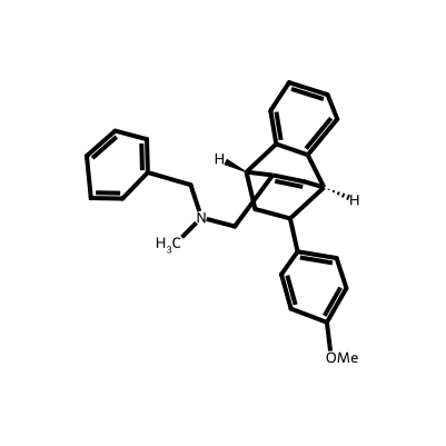 COc1ccc(C2C[C@H]3C(CN(C)Cc4ccccc4)=C[C@H]2c2ccccc23)cc1